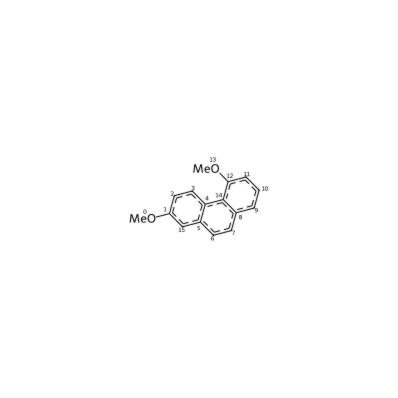 COc1ccc2c(ccc3cccc(OC)c32)c1